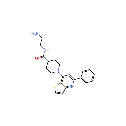 NCCNC(=O)C1CCN(c2cc(-c3ccccc3)nc3ccsc23)CC1